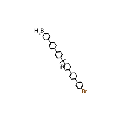 BC1=CC=C(C2=CC=C(c3ccc(C(C)(CC(C)C)C4=CC=C(C5=CC=C(c6ccc(Br)cc6)CC5)CC4)cc3)CC2)CC1